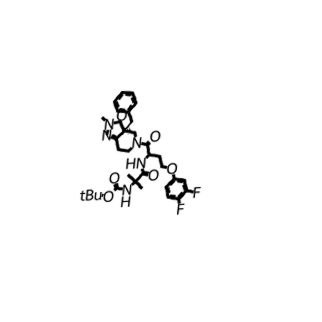 CN1N=C2CCN(C(=O)C(CCOc3ccc(F)c(F)c3)NC(=O)C(C)(C)NC(=O)OC(C)(C)C)C[C@@]2(Cc2ccccc2)C1=O